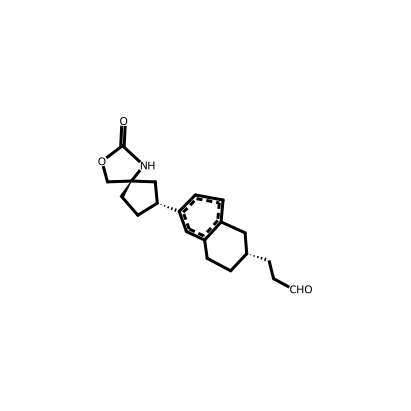 O=CCC[C@@H]1CCc2cc([C@@H]3CC[C@]4(COC(=O)N4)C3)ccc2C1